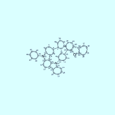 c1ccc(-c2ccc3c(c2)c2c(ccc4c5ccccc5n(-c5ccc(-c6cccc7c6oc6ccccc67)cc5)c42)n3-c2ccccc2)cc1